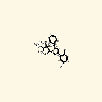 CC(C)C(C)(N)C(=O)N1CC(c2cc(F)ccc2F)=CC1c1ccccc1